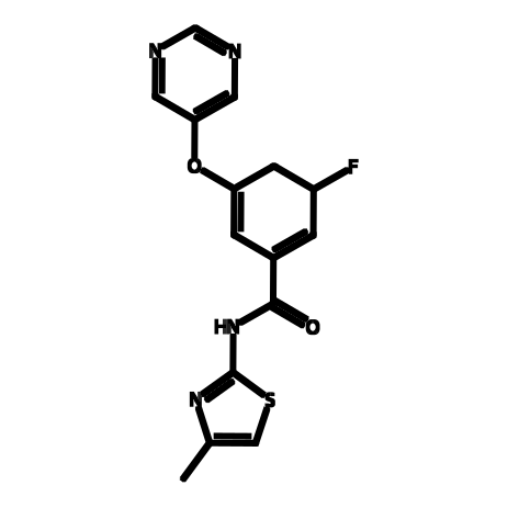 Cc1csc(NC(=O)C2=CC(F)CC(Oc3cncnc3)=C2)n1